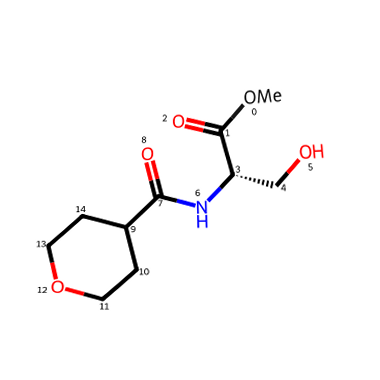 COC(=O)[C@H](CO)NC(=O)C1CCOCC1